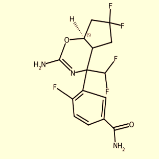 NC(=O)c1ccc(F)c(C2(C(F)F)N=C(N)O[C@H]3CC(F)(F)CC32)c1